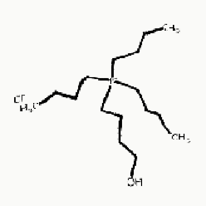 CCCC[P+](CCCC)(CCCC)CCCCO.[Cl-]